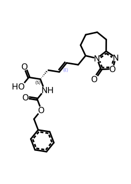 O=C(N[C@@H](C/C=C/CC1CCCCc2noc(=O)n21)C(=O)O)OCc1ccccc1